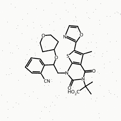 Cc1c(-c2ncco2)sc2c1c(=O)n(C(C)(C)C(=O)O)c(=O)n2CC(OC1CCOCC1)c1ccccc1C#N